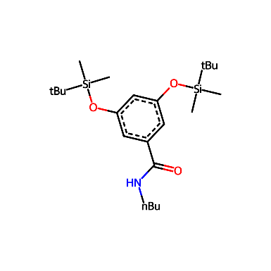 CCCCNC(=O)c1cc(O[Si](C)(C)C(C)(C)C)cc(O[Si](C)(C)C(C)(C)C)c1